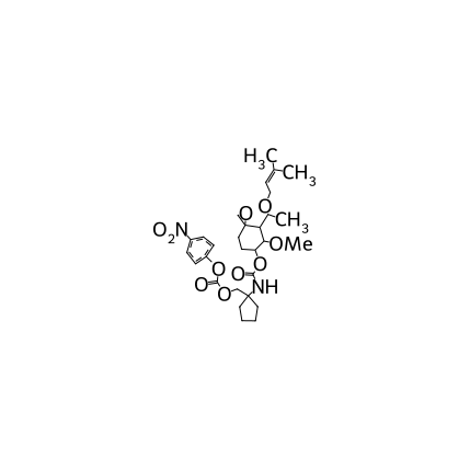 COC1C(OC(=O)NC2(COC(=O)Oc3ccc([N+](=O)[O-])cc3)CCCC2)CCC2(CO2)C1C(C)OCC=C(C)C